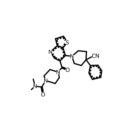 CN(C)C(=O)N1CCN(C(=O)c2cnc3ccsc3c2N2CCC(C#N)(c3ccccc3)CC2)CC1